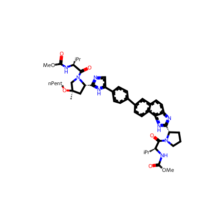 CCCCCO[C@]1(C)C[C@@H](c2ncc(-c3ccc(-c4ccc5c(ccc6nc([C@@H]7CCCN7C(=O)[C@@H](NC(=O)OC)C(C)C)[nH]c65)c4)cc3)[nH]2)N(C(=O)[C@@H](NC(=O)OC)C(C)C)C1